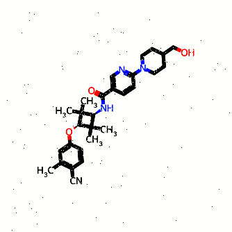 Cc1cc(O[C@H]2C(C)(C)[C@H](NC(=O)c3ccc(N4CCC(CO)CC4)nc3)C2(C)C)ccc1C#N